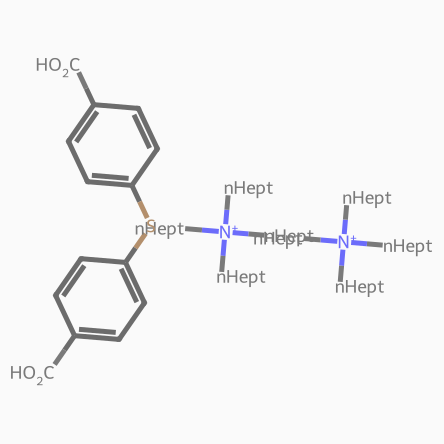 CCCCCCC[N+](CCCCCCC)(CCCCCCC)CCCCCCC.CCCCCCC[N+](CCCCCCC)(CCCCCCC)CCCCCCC.O=C(O)c1ccc(Sc2ccc(C(=O)O)cc2)cc1